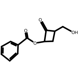 O=C(OC1CC(CO)C1=O)c1ccccc1